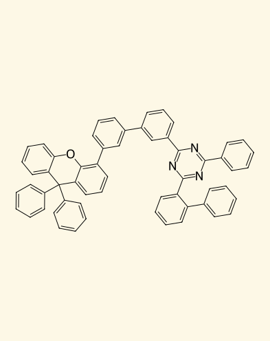 c1ccc(-c2nc(-c3cccc(-c4cccc(-c5cccc6c5Oc5ccccc5C6(c5ccccc5)c5ccccc5)c4)c3)nc(-c3ccccc3-c3ccccc3)n2)cc1